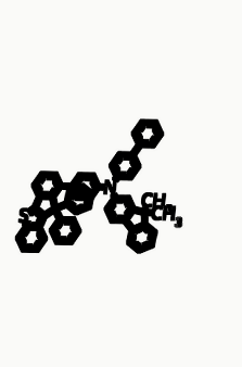 CC1(C)c2ccccc2-c2ccc(N(c3ccc(-c4ccccc4)cc3)c3ccc(-c4cccc5c4C(c4ccccc4)(c4ccccc4)c4c-5sc5ccccc45)cc3)cc21